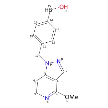 COc1nccc2c1cnn2Cc1ccc(BO)cc1